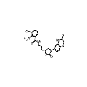 Nc1c(Cl)cccc1C(=O)NCCC[C@@H]1CN(c2ccc3c(c2)NC(=O)CS3)C(=O)O1